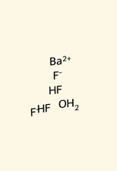 F.F.O.[Ba+2].[F-].[F-]